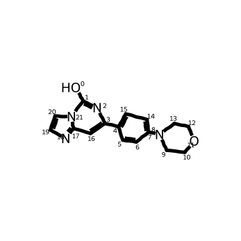 Oc1nc(-c2ccc(N3CCOCC3)cc2)cc2nccn12